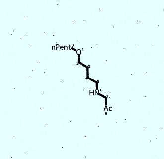 CCCCCOCCCCNCC(C)=O